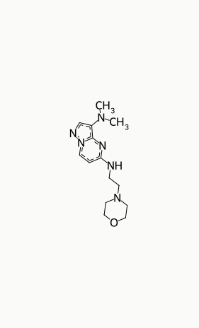 CN(C)c1cnn2ccc(NCCN3CCOCC3)nc12